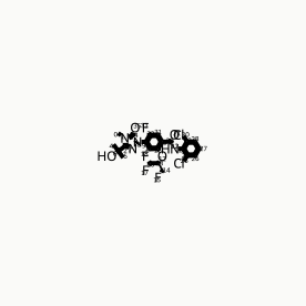 Cn1c(C(C)(C)O)nn(-c2cc(O[C@@H](CF)C(F)F)c(C(=O)Nc3c(Cl)cccc3Cl)cc2F)c1=O